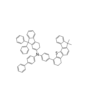 CC1(C)c2ccccc2-c2c1ccc1c3c(sc21)C(c1ccc(N(C2=CC4=C(CC2)c2ccccc2C4(c2ccccc2)c2ccccc2)c2ccc(-c4ccccc4)cc2)cc1)=CCC3